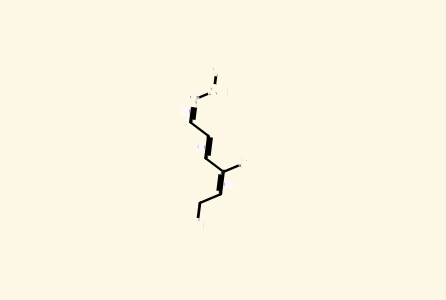 BC(=C/CC)/C=C/C=N\NC